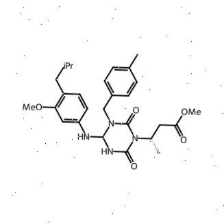 COC(=O)C[C@H](C)N1C(=O)NC(Nc2ccc(CC(C)C)c(OC)c2)N(Cc2ccc(C)cc2)C1=O